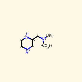 CC(C)(C)N(CC1CNCCN1)C(=O)O